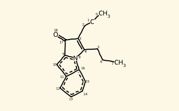 CCCC1=C(CCC)n2c(cc3ccccc32)C1=O